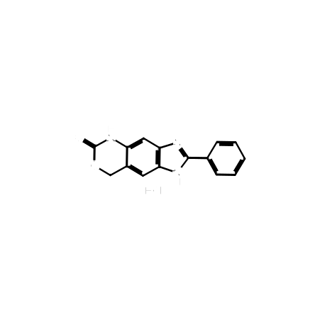 Cl.O=C1Nc2cc3nc(-c4ccccc4)[nH]c3cc2CO1